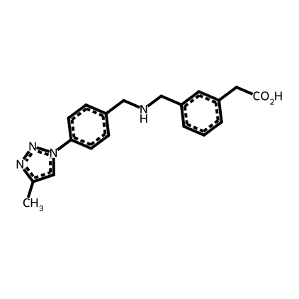 Cc1cn(-c2ccc(CNCc3cccc(CC(=O)O)c3)cc2)nn1